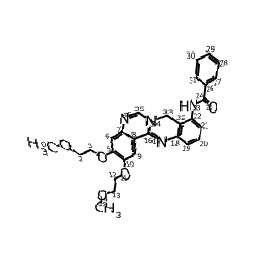 COCCOc1cc2c(cc1OCCOC)C1=Nc3cccc(NC(=O)c4ccccc4)c3CN1C=N2